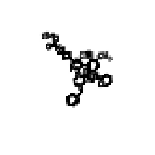 CC[C@@]1(C)CN(Cc2ccccc2)CCN1c1nn(C2CC3(C2)CN(C(=O)OC(C)(C)C)C3)c(C#N)c1-c1c(Cl)c(C)cc2c1cnn2C1CCCCO1